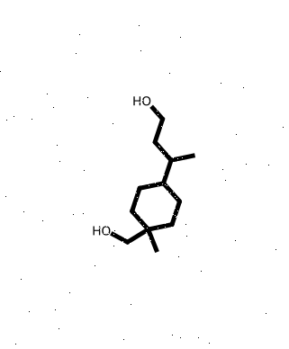 CC(CCO)C1CCC(C)(CO)CC1